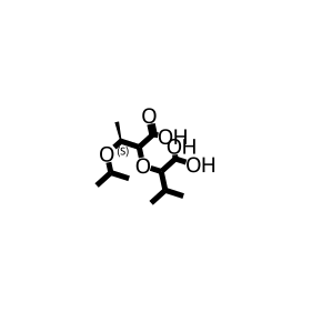 CC(C)O[C@@H](C)C(OC(C(C)C)C(O)O)C(=O)O